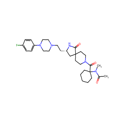 CC(=O)N(C)C1(C(=O)N2CCC3(CC2)C[C@H](CCN2CCN(c4ccc(F)cc4)CC2)NC3=O)CCCCC1